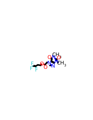 Cn1c(=O)c2c(ncn2CC(=O)OCCC(F)=C(F)F)n(C)c1=O